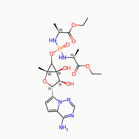 CCOC(=O)[C@H](C)NP(=O)(N[C@@H](C)C(=O)OCC)OC1[C@@]2(C)O[C@@H](c3ccc4c(N)ncnn34)[C@H](O)[C@@]12O